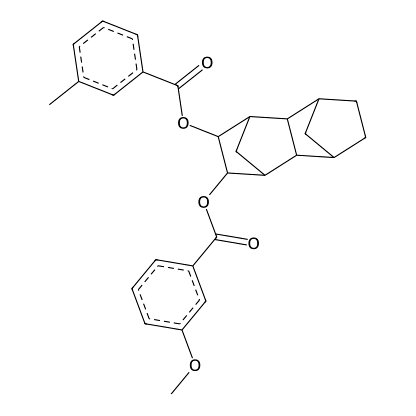 COc1cccc(C(=O)OC2C3CC(C2OC(=O)c2cccc(C)c2)C2C4CCC(C4)C32)c1